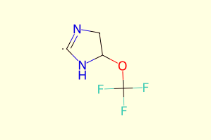 FC(F)(F)OC1CN=[C]N1